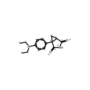 CCN(CC)c1ccc(C23CC2C(=O)NC3=O)cc1